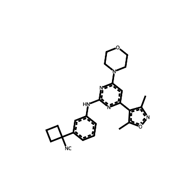 [C-]#[N+]C1(c2cccc(Nc3nc(-c4c(C)noc4C)cc(N4CCOCC4)n3)c2)CCC1